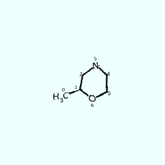 C[C@H]1C[N]CCO1